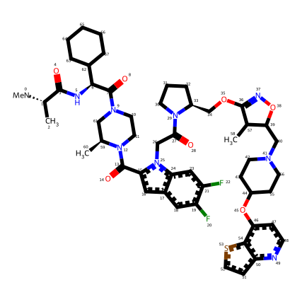 CN[C@@H](C)C(=O)N[C@H](C(=O)N1CCN(C(=O)c2cc3cc(F)c(F)cc3n2CC(=O)N2CCC[C@H]2COC2=NOC(CN3CCC(Oc4ccnc5ccsc45)CC3)C2C)[C@@H](C)C1)C1CCCCC1